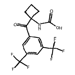 O=C(O)NC1(C(=O)c2cc(C(F)(F)F)cc(C(F)(F)F)c2)CCC1